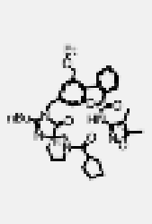 CCCCC1=N[C@@]2(CCCN(C(=O)C3CCCC3)C2)C(=O)N1Cc1ccc(-c2ccccc2S(=O)(=O)Nc2noc(C)c2C)c(COCC)c1